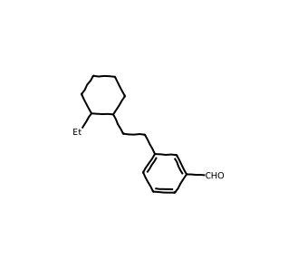 CCC1CCCCC1CCc1cccc(C=O)c1